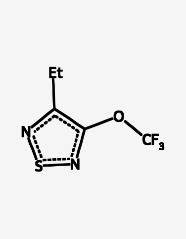 CCc1nsnc1OC(F)(F)F